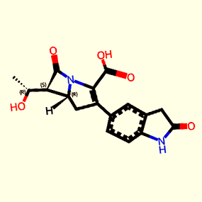 C[C@@H](O)[C@H]1C(=O)N2C(C(=O)O)=C(c3ccc4c(c3)CC(=O)N4)C[C@H]12